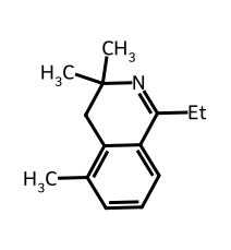 CCC1=NC(C)(C)Cc2c(C)cccc21